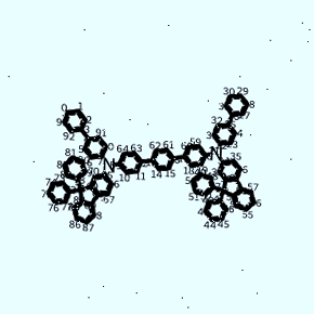 c1ccc(-c2ccc(N(c3ccc(-c4ccc(-c5ccc(N(c6ccc(-c7ccccc7)cc6)c6ccc7c(c6)C(c6ccccc6)(c6ccccc6)c6ccccc6-7)cc5)cc4)cc3)c3ccc4c(c3)C(c3ccccc3)(c3ccccc3)c3ccccc3-4)cc2)cc1